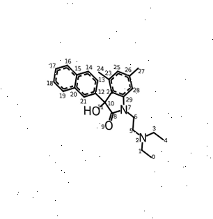 CCN(CC)CCN1C(=O)C(O)(c2ccc3ccccc3c2)c2c(C)cc(C)cc21